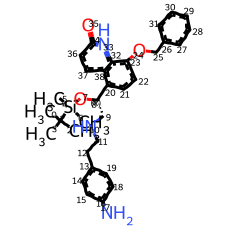 CC(C)(C)[Si](C)(C)O[C@@H](CNCCc1ccc(N)cc1)c1ccc(OCc2ccccc2)c2[nH]c(=O)ccc12